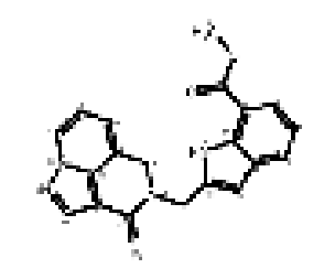 COC(=O)c1cccc2cc(CN3Cc4cccn5ncc(c45)C3=O)[nH]c12